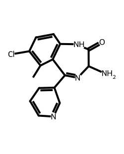 Cc1c(Cl)ccc2c1C(c1cccnc1)=NC(N)C(=O)N2